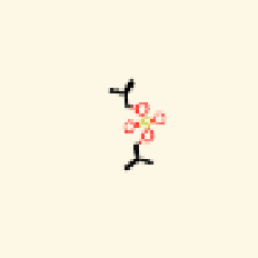 C=C(C)COS(=O)(=O)OCC(=C)C